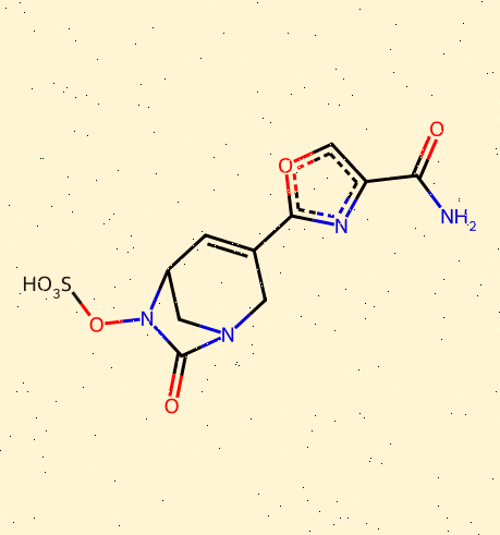 NC(=O)c1coc(C2=CC3CN(C2)C(=O)N3OS(=O)(=O)O)n1